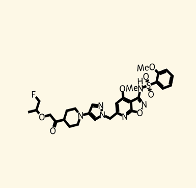 COc1ccccc1S(=O)(=O)Nc1noc2nc(Cn3cc(N4CCC(C(=O)COC(C)CF)CC4)cn3)cc(OC)c12